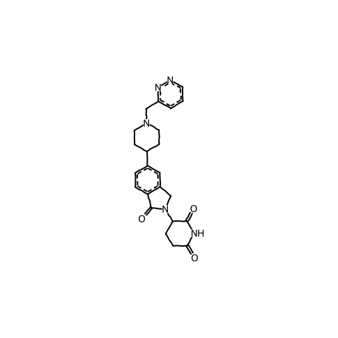 O=C1CCC(N2Cc3cc(C4CCN(Cc5cccnn5)CC4)ccc3C2=O)C(=O)N1